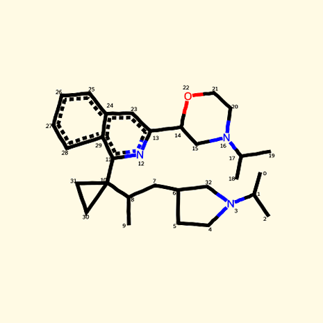 CC(C)N1CCC(CC(C)C2(c3nc(C4CN(C(C)C)CCO4)cc4ccccc34)CC2)C1